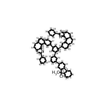 CC1(C)c2ccccc2-c2ccc(-c3cccc(-c4cc(-c5ccc6ccc7ccc8sc(-c9ccccc9)nc8c7c6c5)cc(-c5ccc6ccc7ccc8sc(-c9ccccc9)nc8c7c6c5)c4)c3)cc21